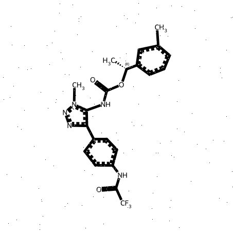 Cc1cccc([C@@H](C)OC(=O)Nc2c(-c3ccc(NC(=O)C(F)(F)F)cc3)nnn2C)c1